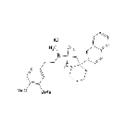 COc1ccc(CCN(C)C(C)(C)CC2(c3ccc4ccccc4c3)SCCCS2)cc1OC.Cl